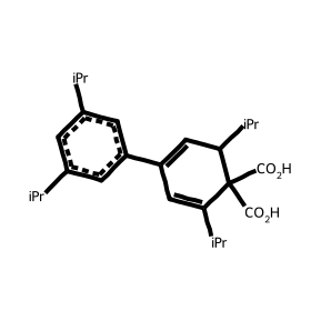 CC(C)C1=CC(c2cc(C(C)C)cc(C(C)C)c2)=CC(C(C)C)C1(C(=O)O)C(=O)O